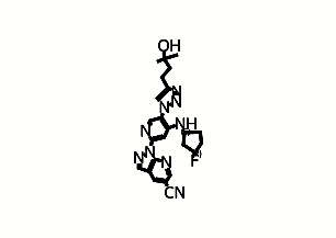 CC(C)(O)CCc1cn(-c2cnc(-n3ncc4cc(C#N)cnc43)cc2N[C@H]2CC[C@@H](F)C2)nn1